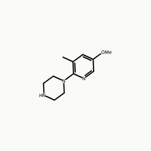 COc1cnc(N2CCNCC2)c(C)c1